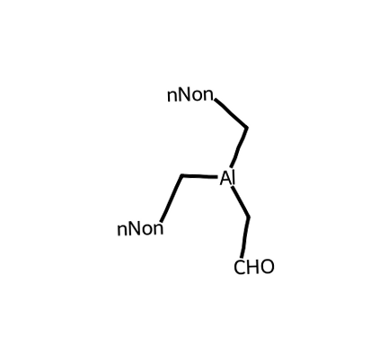 CCCCCCCCC[CH2][Al]([CH2]C=O)[CH2]CCCCCCCCC